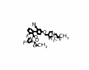 COC(=O)[C@@H]1C[C@H](F)CN1C(=O)c1c(F)cccc1-c1ccc(OCC2CCN(CC(C)(C)F)CC2)cc1C#N